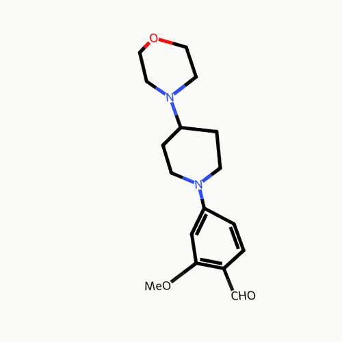 COc1cc(N2CCC(N3CCOCC3)CC2)ccc1C=O